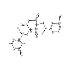 O=C1CC(=O)N(C[C@H](F)c2cccc(F)c2)C(=O)N1C[C@H](F)c1cccc(F)c1